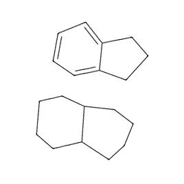 C1CCC2CCCCC2C1.c1ccc2c(c1)CCC2